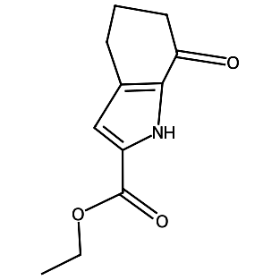 CCOC(=O)c1cc2c([nH]1)C(=O)CCC2